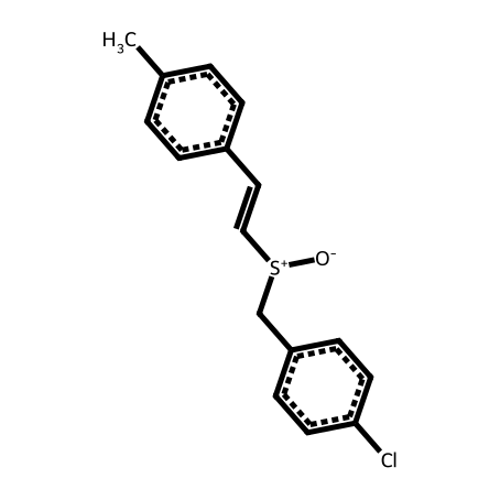 Cc1ccc(C=C[S+]([O-])Cc2ccc(Cl)cc2)cc1